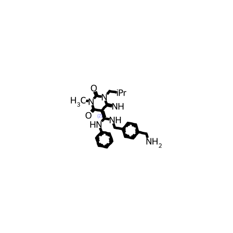 CC(C)CN1C(=N)/C(=C(\NCc2ccc(CN)cc2)Nc2ccccc2)C(=O)N(C)C1=O